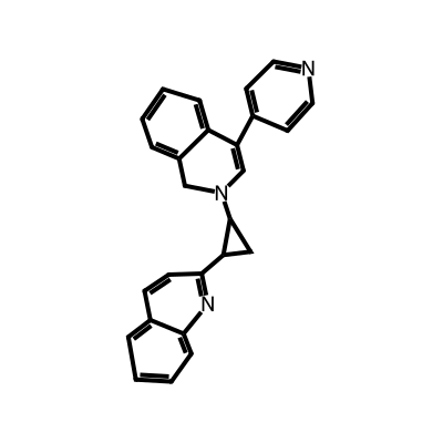 C1=C(c2ccncc2)c2ccccc2CN1C1CC1c1ccc2ccccc2n1